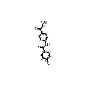 CC(C)(C)NC(=O)c1ccc(NC(=O)c2ccc(C(F)(F)F)cc2)cc1